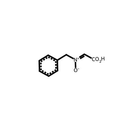 O=C(O)C=[N+]([O-])Cc1ccccc1